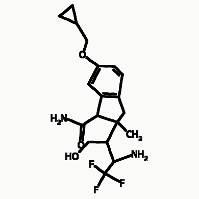 CC1(C(CO)C(N)C(F)(F)F)Cc2ccc(OCC3CC3)cc2C1C(N)=O